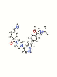 CN=CC1CCC(C(=O)N2CCN(c3ccnn4cc(-c5ccc(C6(OC)CN(C(C)C)C6)cc5)cc34)CC2)CC1